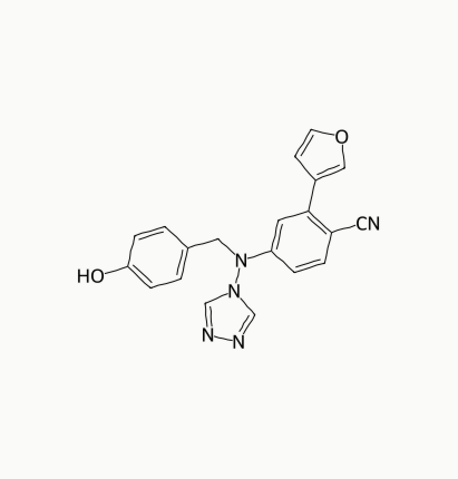 N#Cc1ccc(N(Cc2ccc(O)cc2)n2cnnc2)cc1-c1ccoc1